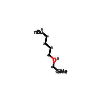 CCCCCCCCOCSC